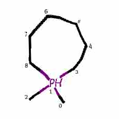 C[PH]1(C)CCCCCC1